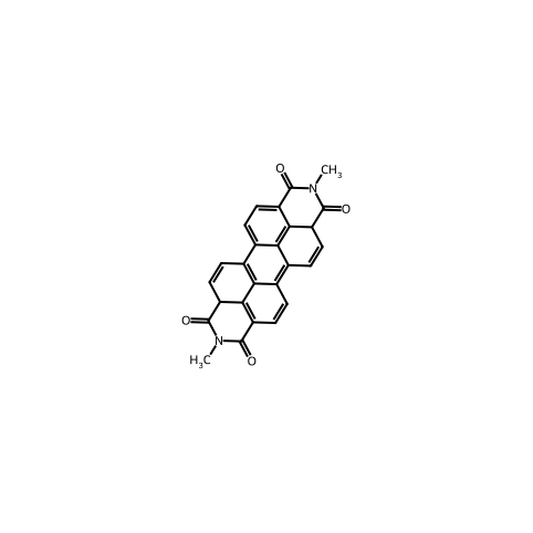 CN1C(=O)c2ccc3c4c5c6c(ccc5c5c3c2C(C=C5)C1=O)C(=O)N(C)C(=O)C6C=C4